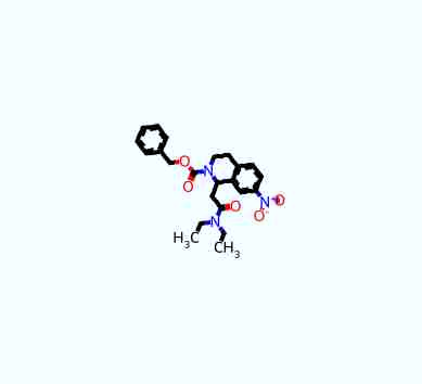 CCN(CC)C(=O)CC1c2cc([N+](=O)[O-])ccc2CCN1C(=O)OCc1ccccc1